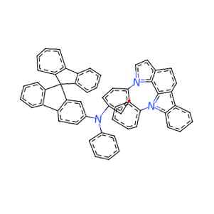 c1ccc(N(c2ccc(-n3ccc4ccc5c6ccccc6n(-c6ccccc6)c5c43)cc2)c2ccc3c(c2)C2(c4ccccc4-c4ccccc42)c2ccccc2-3)cc1